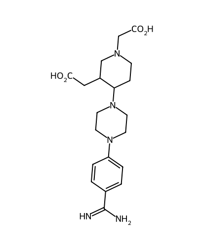 N=C(N)c1ccc(N2CCN(C3CCN(CC(=O)O)CC3CC(=O)O)CC2)cc1